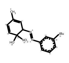 CC1=CC(N=Nc2cccc(C(C)(C)C)c2)C(O)([N+](=O)[O-])C=C1